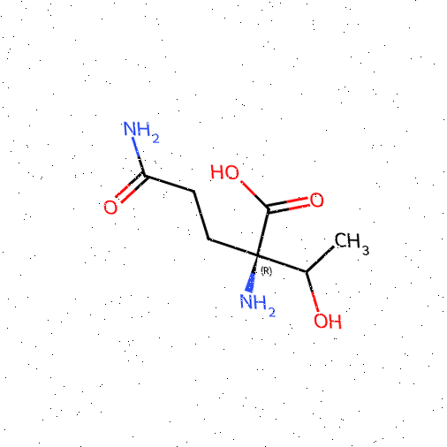 CC(O)[C@](N)(CCC(N)=O)C(=O)O